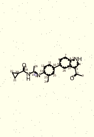 CC(=O)c1c[nH]c2ccc(-c3ccc(/N=C(\C)NC(=O)C4CC4)c(C)c3)cc12